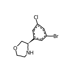 Clc1cc(Br)cc([C@@H]2COCCN2)c1